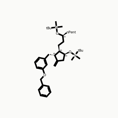 C=C1C[C@H](O[Si](C)(C)C(C)(C)C)[C@H](CC[C@H](CCCCC)O[Si](C)(C)C(C)(C)C)[C@H]1Cc1cccc(OCc2ccccc2)c1